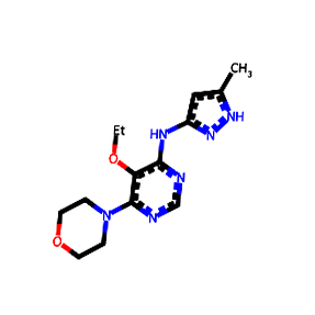 CCOc1c(Nc2cc(C)[nH]n2)ncnc1N1CCOCC1